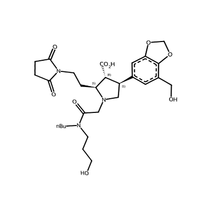 CCCCN(CCCO)C(=O)CN1C[C@H](c2cc(CO)c3c(c2)OCO3)[C@@H](C(=O)O)[C@@H]1CCN1C(=O)CCC1=O